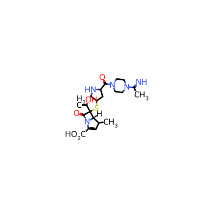 CC(=N)N1CCN(C(=O)C2CC(SC3(C(C)O)C(=O)N4C(C(=O)O)=CC(C)[C@H]43)CN2)CC1